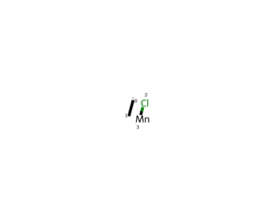 [CH2]C.[Cl][Mn]